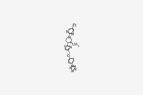 CCc1cnc(N2CCC(c3nc(COc4ccc(-n5cnnn5)cc4)cs3)[C@@H](C)C2)nc1